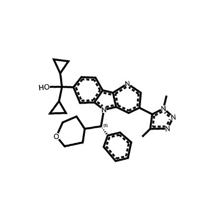 Cc1nnn(C)c1-c1cnc2c3ccc(C(O)(C4CC4)C4CC4)cc3n([C@H](c3ccccc3)C3CCOCC3)c2c1